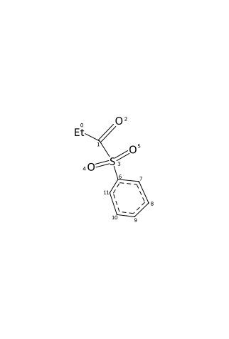 CCC(=O)S(=O)(=O)c1ccccc1